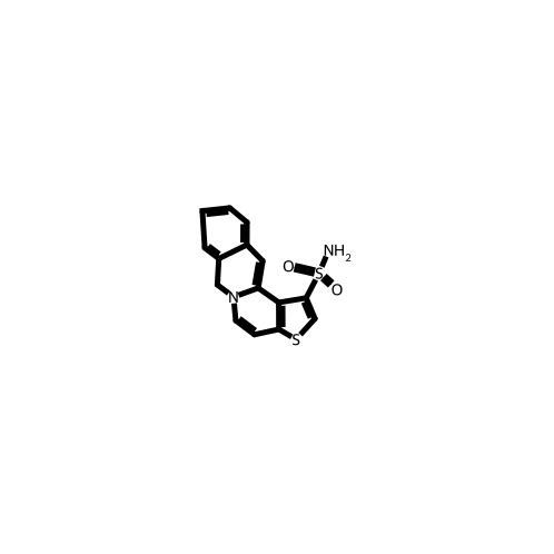 NS(=O)(=O)c1csc2c1C1=Cc3ccccc3CN1C=C2